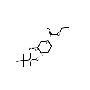 CCOC(=O)[C@@H]1CC[C@H](O[Si](C)(C)C(C)(C)C)[C@@H](F)C1